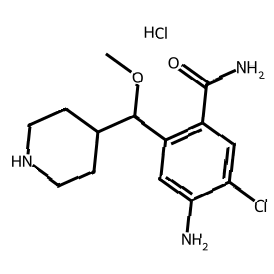 COC(c1cc(N)c(Cl)cc1C(N)=O)C1CCNCC1.Cl